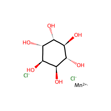 O[C@H]1[C@H](O)[C@H](O)[C@@H](O)[C@H](O)[C@H]1O.[Cl-].[Cl-].[Mn+2]